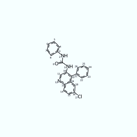 O=C(Nc1ccccc1)Nc1cnc2ccc(Cl)cc2c1-c1ccccc1